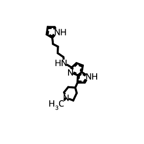 CN1CCC(c2c[nH]c3ccc(NCCCCc4ccc[nH]4)nc23)CC1